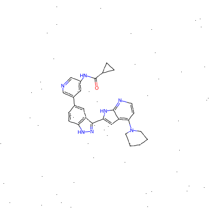 O=C(Nc1cncc(-c2ccc3[nH]nc(-c4cc5c(N6CCCCC6)ccnc5[nH]4)c3c2)c1)C1CC1